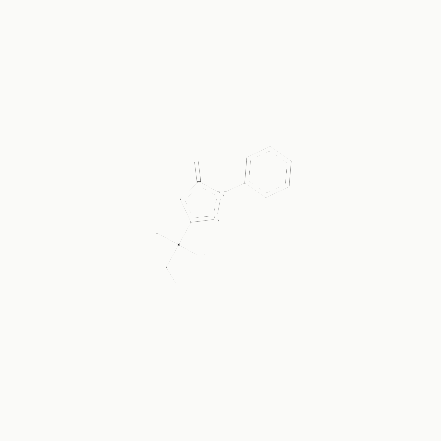 O=c1cc(C(Cl)(Cl)CCl)[nH]n1-c1ccccc1